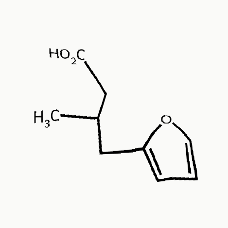 CC(CC(=O)O)Cc1ccco1